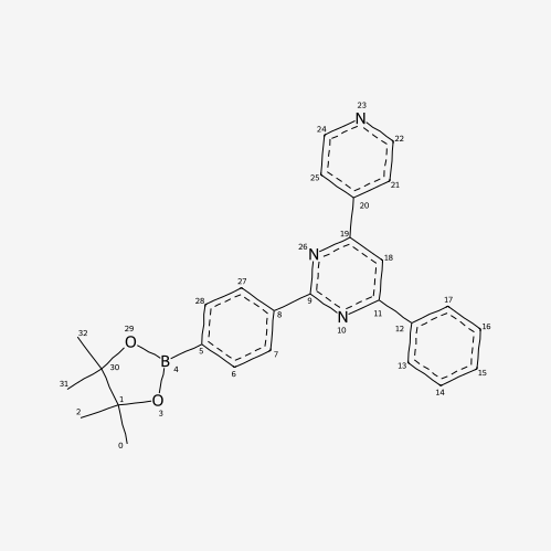 CC1(C)OB(c2ccc(-c3nc(-c4ccccc4)cc(-c4ccncc4)n3)cc2)OC1(C)C